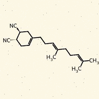 CC(C)=CCC/C(C)=C/CCC1=CC[C@H](C#N)[C@@H](C#N)C1